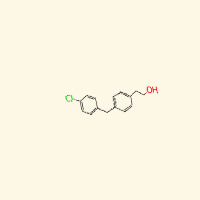 OCCc1ccc(Cc2ccc(Cl)cc2)cc1